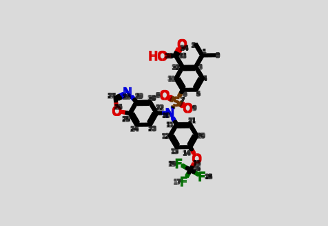 CC(C)c1ccc(S(=O)(=O)N(c2ccc(OC(F)(F)F)cc2)c2ccc3ocnc3c2)cc1C(=O)O